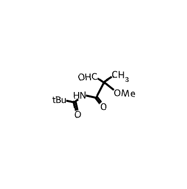 COC(C)(C=O)C(=O)NC(=O)C(C)(C)C